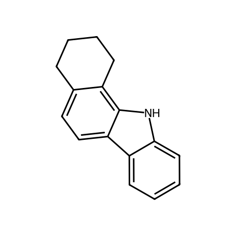 c1ccc2c(c1)[nH]c1c3c(ccc12)CCCC3